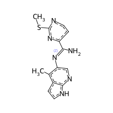 CSc1nccc(/C(N)=N/c2cnc3[nH]ccc3c2C)n1